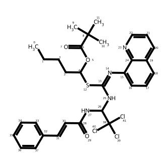 CCCCC(OC(=O)C(C)(C)C)S/C(=N/c1cccc2cccnc12)NC(NC(=O)/C=C/c1ccccc1)C(Cl)(Cl)Cl